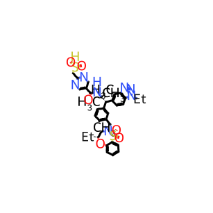 CC[C@@H]1CN(Cc2cc([C@@H](c3ccc4c(nnn4CC)c3C)C(C)(C)NC(=O)c3cnc(C[SH](=O)=O)nc3)ccc2C)S(=O)(=O)c2ccccc2O1